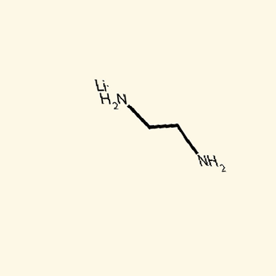 NCCN.[Li]